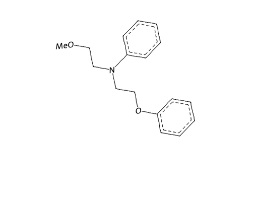 COCCN(CCOc1ccccc1)c1ccccc1